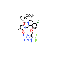 C[C@H]1CCN(C[C@@H]2c3c(OC/C(N)=C(\C(F)F)N(C)N)ccc(Cl)c3CCN2C(=O)[C@@H]2CCC[C@]2(C)C(=O)O)C1=O